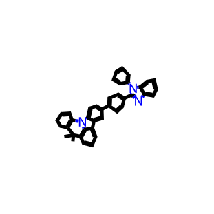 CC1(C)C2=C(C=CCC2)n2c3ccc(-c4ccc(-c5nc6ccccc6n5-c5ccccc5)cc4)cc3c3cccc1c32